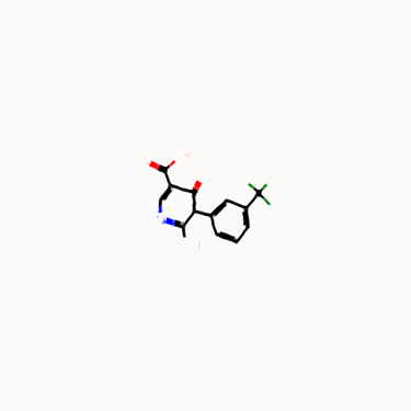 CC1=NC=C(C(=O)O)C(=O)C1c1cccc(C(F)(F)F)c1